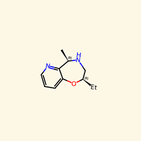 CC[C@@H]1CN[C@H](C)c2ncccc2O1